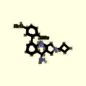 COc1ccc(OC)c(-c2cccc3c2NC2=C(CN(C4CCC4)C2)C3N)c1